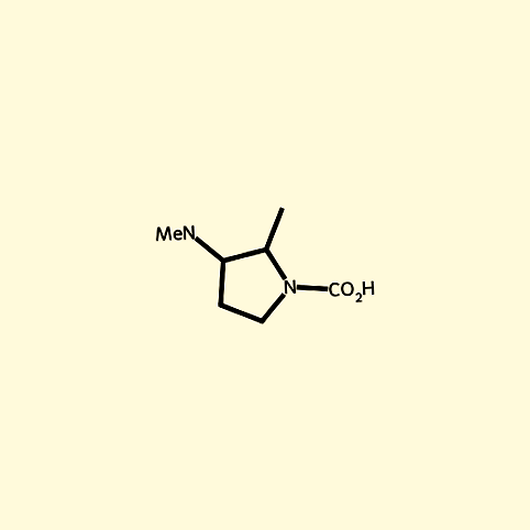 CNC1CCN(C(=O)O)C1C